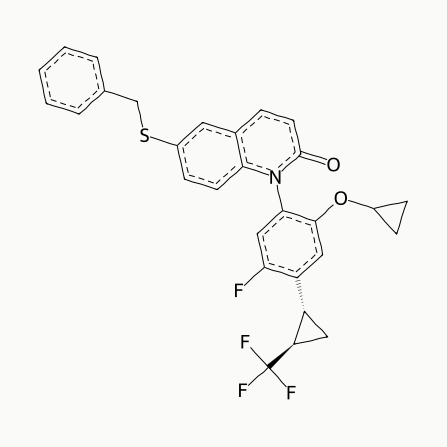 O=c1ccc2cc(SCc3ccccc3)ccc2n1-c1cc(F)c([C@@H]2C[C@H]2C(F)(F)F)cc1OC1CC1